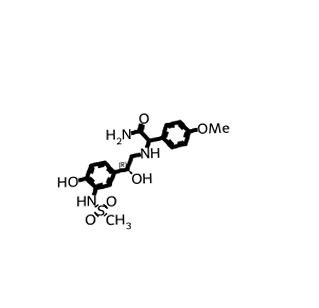 COc1ccc(C(NC[C@H](O)c2ccc(O)c(NS(C)(=O)=O)c2)C(N)=O)cc1